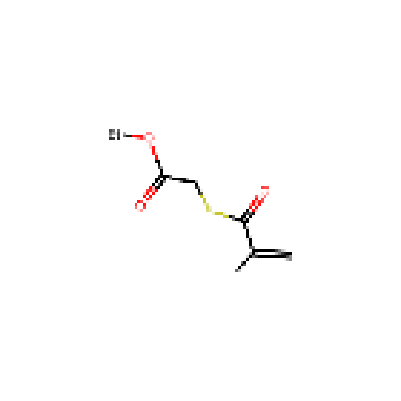 C=C(C)C(=O)SCC(=O)OCC